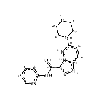 O=C(Nc1ccncn1)c1cnc2ccc(N3CCOCC3)nn12